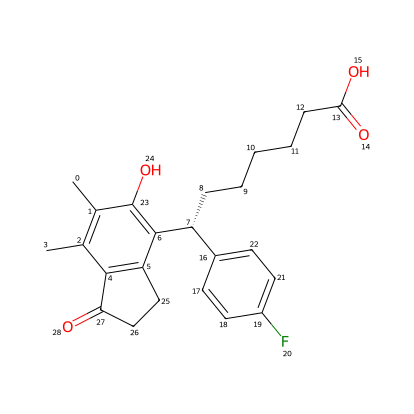 Cc1c(C)c2c(c([C@H](CCCCCC(=O)O)c3ccc(F)cc3)c1O)CCC2=O